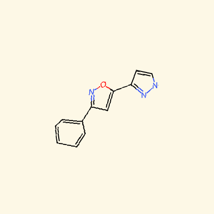 C1=CC(c2cc(-c3ccccc3)no2)=N[N]1